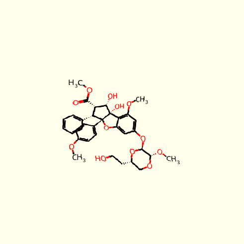 COC(=O)[C@H]1[C@@H](c2ccccc2)[C@@]2(c3ccc(OC)cc3)Oc3cc(O[C@@H]4O[C@@H](CCO)CO[C@H]4OC)cc(OC)c3[C@]2(O)[C@H]1O